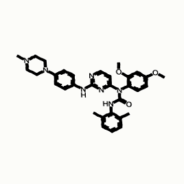 COc1ccc(N(C(=O)Nc2c(C)cccc2C)c2ccnc(Nc3ccc(N4CCN(C)CC4)cc3)n2)c(OC)c1